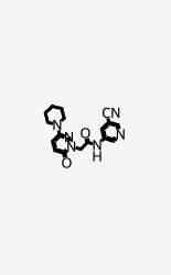 N#Cc1cncc(NC(=O)Cn2nc(N3CCCCC3)ccc2=O)c1